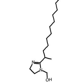 CCCCCCCCCCC(C)C1=NCCN1CO